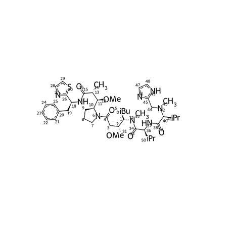 CC[C@H](C)[C@@H]([C@@H](CC(=O)N1CCC[C@H]1[C@H](OC)[C@@H](C)C(=O)N[C@@H](Cc1ccccc1)c1nccs1)OC)N(C)C(=O)[C@@H](NC(=O)[C@H](C(C)C)N(C)Cc1ncc[nH]1)C(C)C